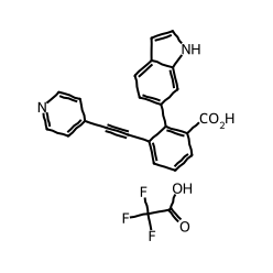 O=C(O)C(F)(F)F.O=C(O)c1cccc(C#Cc2ccncc2)c1-c1ccc2cc[nH]c2c1